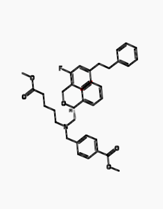 COC(=O)CCCCN(Cc1ccc(C(=O)OC)cc1)C[C@H](OCc1ccc(CCc2ccccc2)cc1F)c1ccccc1